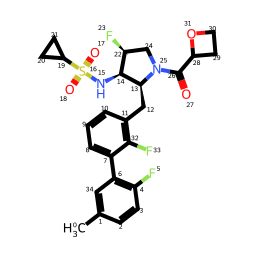 Cc1ccc(F)c(-c2cccc(C[C@H]3[C@@H](NS(=O)(=O)C4CC4)[C@@H](F)CN3C(=O)C3CCO3)c2F)c1